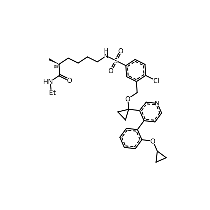 CCNC(=O)[C@@H](C)CCCCNS(=O)(=O)c1ccc(Cl)c(COC2(c3cnccc3-c3ccccc3OC3CC3)CC2)c1